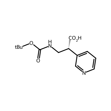 CC(C)(C)OC(=O)NC[C@H](C(=O)O)c1cccnc1